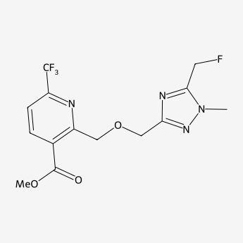 COC(=O)c1ccc(C(F)(F)F)nc1COCc1nc(CF)n(C)n1